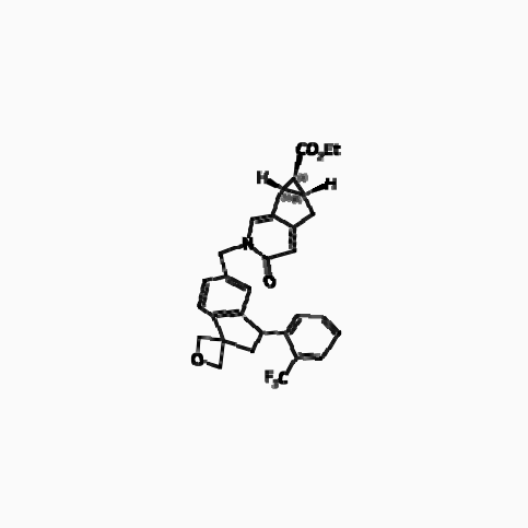 CCOC(=O)[C@H]1[C@@H]2Cc3cc(=O)n(Cc4ccc5c(c4)C(c4ccccc4C(F)(F)F)CC54COC4)cc3[C@@H]21